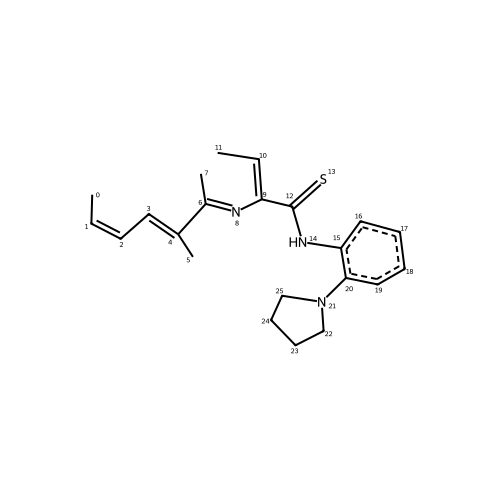 C\C=C/C=C(C)/C(C)=N/C(=C\C)C(=S)Nc1ccccc1N1CCCC1